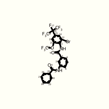 O=C(Nc1cccc(C(=O)Nc2c(Br)cc(C(F)(C(F)(F)F)C(F)(F)F)cc2OC(F)(F)F)c1)c1ccccc1